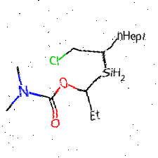 CCCCCCCC(CCl)[SiH2]C(CC)OC(=O)N(C)C